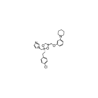 Clc1ccc(CC[C@]2(Cn3ccnc3)OC[C@@H](COc3cccc(N4CCCCC4)c3)O2)cc1